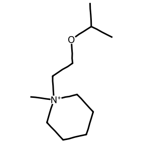 CC(C)OCC[N+]1(C)CCCCC1